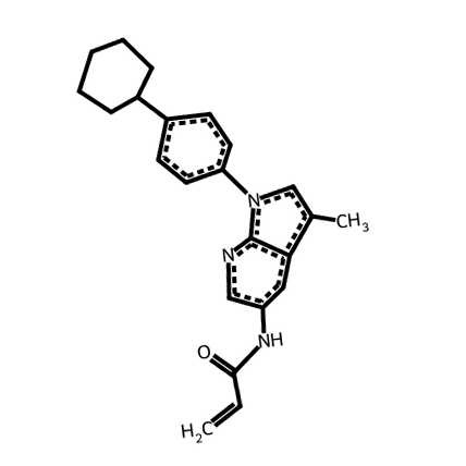 C=CC(=O)Nc1cnc2c(c1)c(C)cn2-c1ccc(C2CCCCC2)cc1